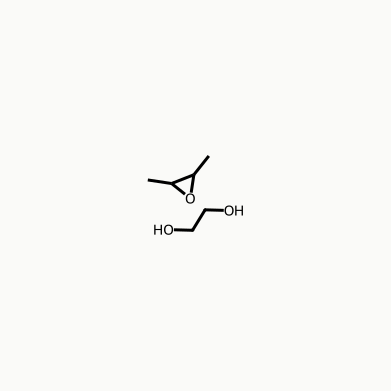 CC1OC1C.OCCO